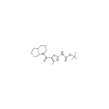 Cc1nc(NC(=O)OC(C)(C)C)sc1C(=O)N1CCCC2CCCCC21